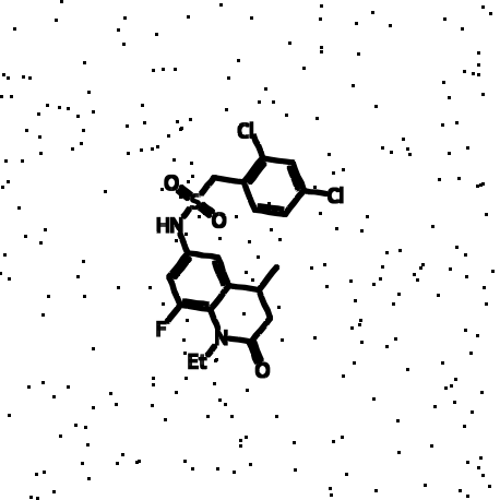 CCN1C(=O)CC(C)c2cc(NS(=O)(=O)Cc3ccc(Cl)cc3Cl)cc(F)c21